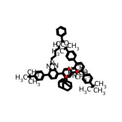 CC(C)(C)c1ccc(-c2ccc(-c3ccc(C(C)(C)C)cc3)c3nn(CC45CC6CC(C4)C(c4cc(C(C)(C)C)ccc4-c4ccc(-c7ccc(C(C)(C)C)cc7)c7nn(CCCCOC(=O)c8ccccc8)nc47)C(C6)C5)nc23)cc1